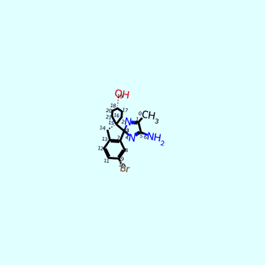 CC1=N[C@@]2(N=C1N)c1cc(Br)ccc1C[C@]21CC[C@@H](O)CC1